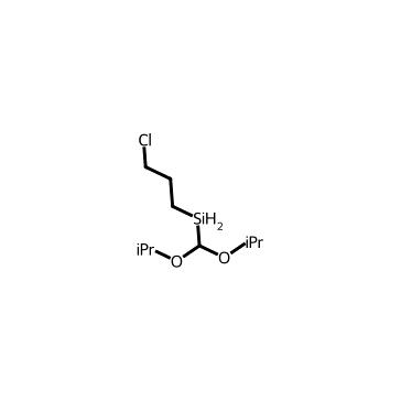 CC(C)OC(OC(C)C)[SiH2]CCCCl